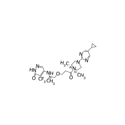 C[C@@H]1CN(c2ncc(C3CC3)cn2)C[C@H](C)N1C(=O)CCOC[C@H](C)Nc1cn[nH]c(=O)c1C(F)(F)F